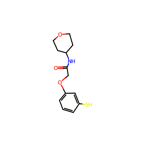 O=C(COc1cccc(S)c1)NC1CCOCC1